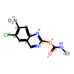 CCNC(=O)Oc1ncc2cc(Cl)c([N+](=O)[O-])cc2n1